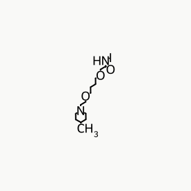 CC1CCN(CCOCCCCOCC(=O)NI)CC1